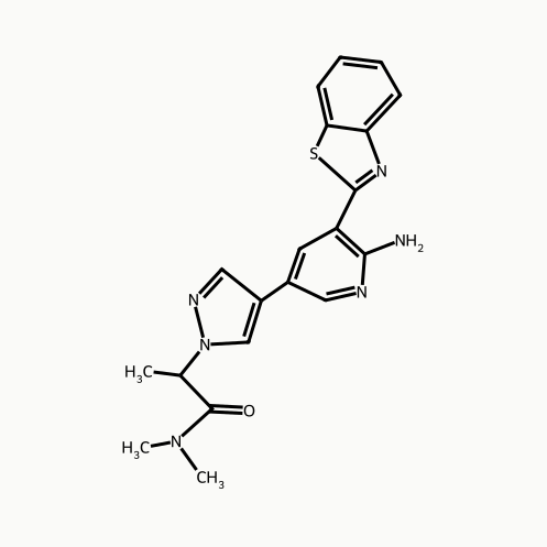 CC(C(=O)N(C)C)n1cc(-c2cnc(N)c(-c3nc4ccccc4s3)c2)cn1